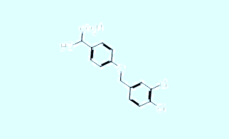 O=C(O)C(O)c1ccc(OCc2ccc(Cl)c(Cl)c2)cc1